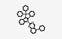 c1ccc(-c2cccc3nc(-n4c5c(c6ccccc64)C(c4ccccc4)(c4ccccc4)c4ccccc4-5)ncc23)cc1